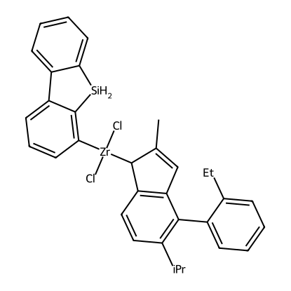 CCc1ccccc1-c1c(C(C)C)ccc2c1C=C(C)[CH]2[Zr]([Cl])([Cl])[c]1cccc2c1[SiH2]c1ccccc1-2